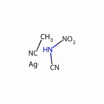 CC#N.N#CN[N+](=O)[O-].[Ag]